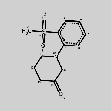 CS(=O)(=O)c1ccccc1N1CCCC(=O)C1